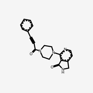 O=C1NCc2ccnc(N3CCN(C(=O)C#Cc4ccccc4)CC3)c21